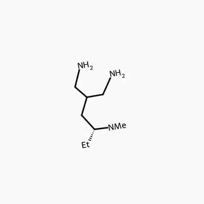 CC[C@H](CC(CN)CN)NC